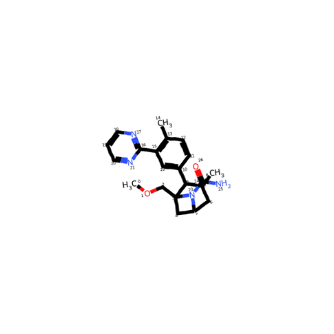 COCC12CC(CC(C)C1c1ccc(C)c(-c3ncccn3)c1)N2C(N)=O